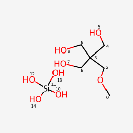 COCC(CO)(CO)CO.O[Si](O)(O)O